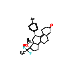 CC(=O)c1ccc([C@H]2C[C@@]3(C)C(CC[C@@]3(O)C(F)(F)C(F)(F)F)C3CCC4CC(=O)CCC4=C32)cc1